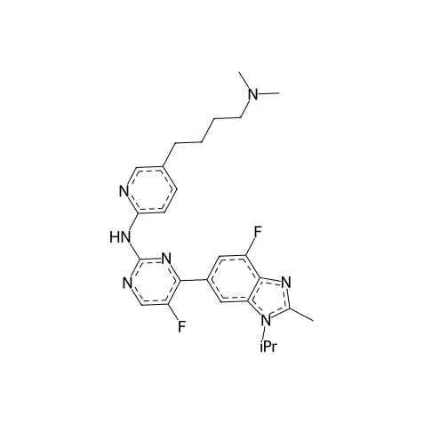 Cc1nc2c(F)cc(-c3nc(Nc4ccc(CCCCN(C)C)cn4)ncc3F)cc2n1C(C)C